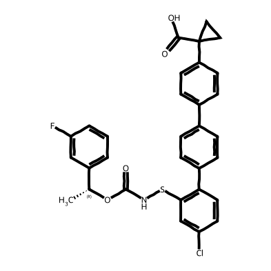 C[C@@H](OC(=O)NSc1cc(Cl)ccc1-c1ccc(-c2ccc(C3(C(=O)O)CC3)cc2)cc1)c1cccc(F)c1